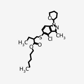 CCCCCCOC(=O)C(CC)CSc1ccc2c(c(C)nn2C2CCCCO2)c1Cl